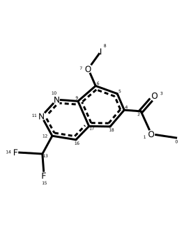 COC(=O)c1cc(OI)c2nnc(C(F)F)cc2c1